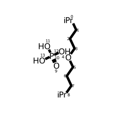 CC(C)CCCOCCCC(C)C.O=P(O)(O)O